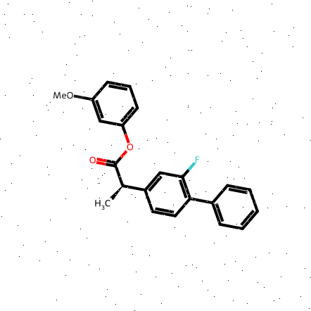 COc1cccc(OC(=O)[C@H](C)c2ccc(-c3ccccc3)c(F)c2)c1